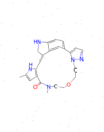 Cc1cc2c([nH]1)/C=C1\CNc3ccc(cc31)-c1ccnn1CCOCCN(C)C2=O